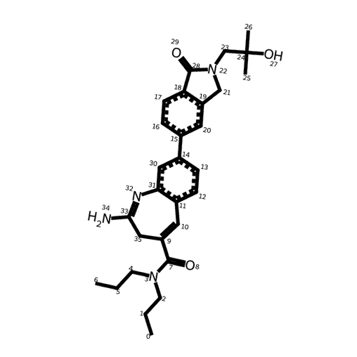 CCCN(CCC)C(=O)C1=Cc2ccc(-c3ccc4c(c3)CN(CC(C)(C)O)C4=O)cc2N=C(N)C1